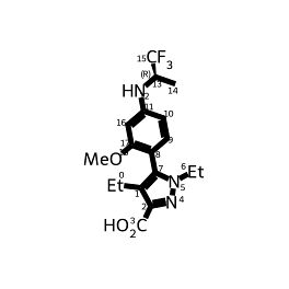 CCc1c(C(=O)O)nn(CC)c1-c1ccc(N[C@H](C)C(F)(F)F)cc1OC